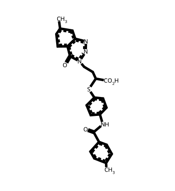 Cc1ccc(C(=O)Nc2ccc(SC(CCn3nnc4cc(C)ccc4c3=O)C(=O)O)cc2)cc1